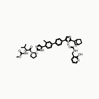 COC(=O)N[C@H](C(=O)N1CCC[C@H]1c1ncc(-c2ccc(-c3ccc(-c4cnc(C5C6CCC(C6)[C@@H]5C(=O)NCc5cccnc5O)[nH]4)cc3)cc2C)[nH]1)C(C)C